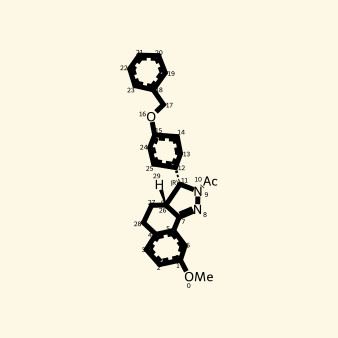 COc1ccc2c(c1)C1=NN(C(C)=O)[C@@H](c3ccc(OCc4ccccc4)cc3)[C@H]1CC2